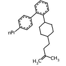 C=C(C)CCC1CCC(c2ccccc2-c2ccc(CCC)cc2)CC1